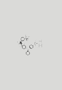 CCC(C)c1ccc([S+](c2ccccc2)c2ccccc2)cc1.O=S(=O)([O-])c1cccc(C(F)(F)F)c1